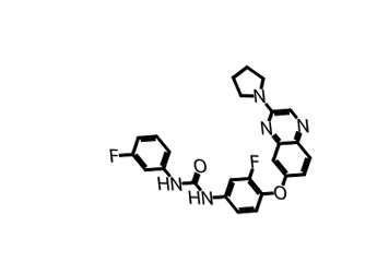 O=C(Nc1cccc(F)c1)Nc1ccc(Oc2ccc3ncc(N4CCCC4)nc3c2)c(F)c1